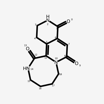 O=C1NCCc2c1cc(=O)n1c2C(=O)NCCCC1